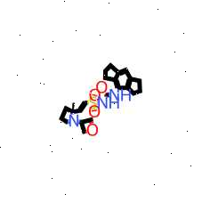 C[C@]1(/C=C/S(=O)(=O)NC(=O)Nc2c3c(cc4c2CCC4)CCC3)CCCN1C1COC1